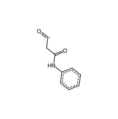 O=[C]CC(=O)Nc1ccccc1